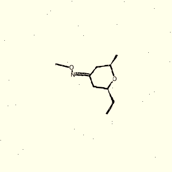 CC[C@H]1C/C(=N/OC)C[C@@H](C)O1